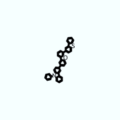 c1ccc(-n2c3ccccc3c3cc(-c4ccc5oc6c(-c7ccc8sc9ccccc9c8c7)cccc6c5c4)ccc32)cc1